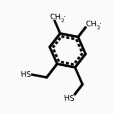 [CH2]c1cc(CS)c(CS)cc1[CH2]